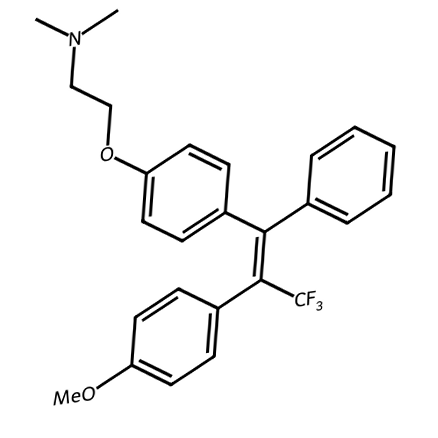 COc1ccc(C(=C(c2ccccc2)c2ccc(OCCN(C)C)cc2)C(F)(F)F)cc1